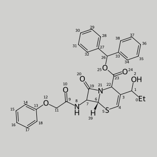 CCC(O)C1=CS[C@@H]2C(NC(=O)COc3ccccc3)C(=O)N2C1C(=O)OC(c1ccccc1)c1ccccc1